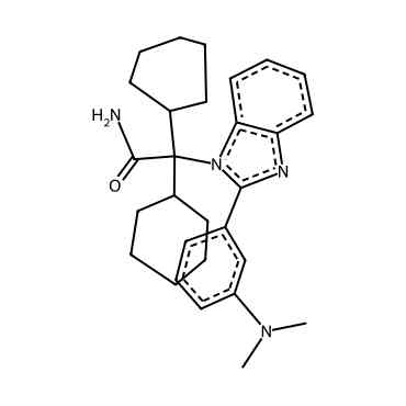 CN(C)c1cccc(-c2nc3ccccc3n2C(C(N)=O)(C2CCCCC2)C2CCCCC2)c1